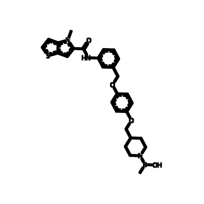 CB(O)N1CCC(COc2ccc(OCc3cccc(NC(=O)c4cc5sccc5n4C)c3)cc2)CC1